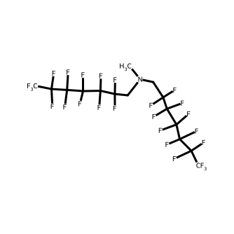 CN(CC(F)(F)C(F)(F)C(F)(F)C(F)(F)C(F)(F)C(F)(F)F)CC(F)(F)C(F)(F)C(F)(F)C(F)(F)C(F)(F)C(F)(F)F